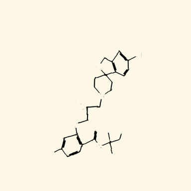 CC(C)(CO)NC(=O)c1ccc(O)cc1OC[C@H](O)CN1CCC2(CC1)OCc1cc(Cl)ccc12